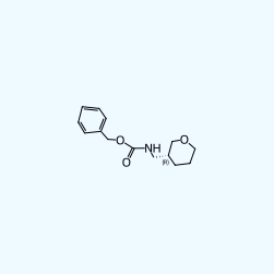 O=C(NC[C@H]1CCCOC1)OCc1ccccc1